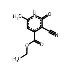 CCOC(=O)c1cc(C)[nH]c(=O)c1C#N